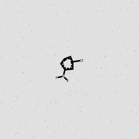 FN(F)c1cccc(Cl)c1